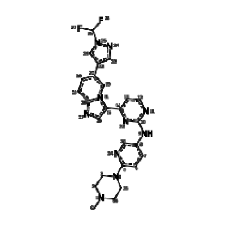 CN1CCN(c2ccc(Nc3nccc(-c4cnc5ccc(-c6cnn(C(F)F)c6)cn45)n3)cn2)CC1